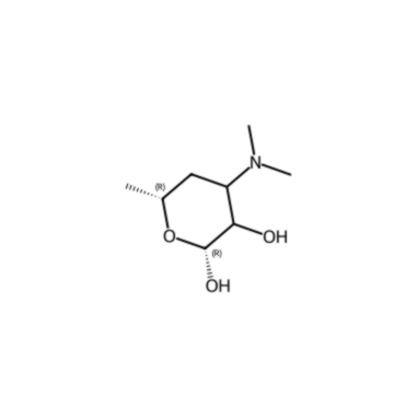 C[C@@H]1CC(N(C)C)C(O)[C@H](O)O1